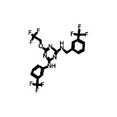 FC(F)(F)COc1nc(NCc2cccc(C(F)(F)F)c2)nc(Nc2cccc(C(F)(F)F)c2)n1